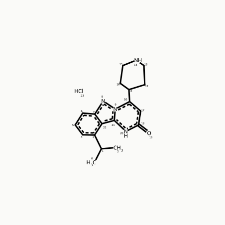 CC(C)c1cccc2nn3c(C4CCNCC4)cc(=O)[nH]c3c12.Cl